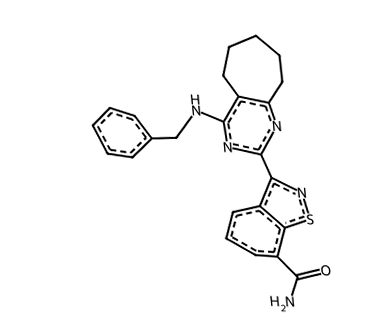 NC(=O)c1cccc2c(-c3nc4c(c(NCc5ccccc5)n3)CCCCC4)nsc12